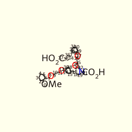 COc1ccccc1COCCCOc1ccc(C2CCN(C(=O)O)CC2OCCOc2ccccc2CCCC(=O)O)cc1